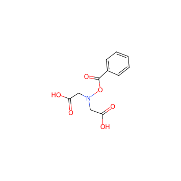 O=C(O)CN(CC(=O)O)OC(=O)c1ccccc1